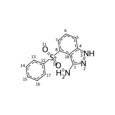 Nc1n[nH]c2cccc(S(=O)(=O)c3ccccc3)c12